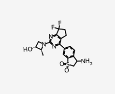 C[C@H]1[C@H](O)CN1c1nc(-c2ccc3c(c2)S(=O)(=O)CC3N)c2c(n1)C(F)(F)CC2